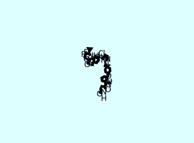 Cn1nc(C2CCC(=O)NC2=O)c2cccc(OC3CCC4(CC3)CN(c3ncc(Cl)c(Nc5ccc6c(c5)c5c(c(=O)n6C)OCC(F)(F)C(C6CC6)N5)n3)C4)c21